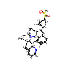 Cc1ccc(C(=Cc2cccc(-c3cc(C(C)C)cc4cccnc34)c2)c2ccc(S(C)(=O)=O)cc2)cn1